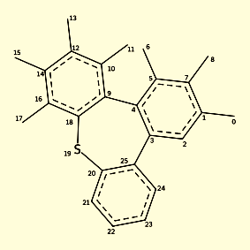 Cc1cc2c(c(C)c1C)-c1c(C)c(C)c(C)c(C)c1Sc1ccccc1-2